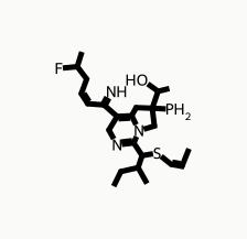 C/C=C\SC(C1=NCC(C(=N)/C=C\CC(C)F)=C2CC(P)(C(C)O)CN12)C(C)CC